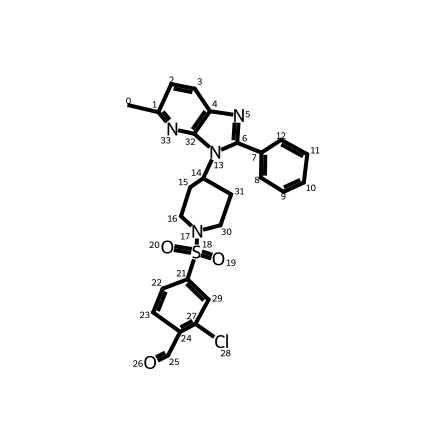 Cc1ccc2nc(-c3ccccc3)n(C3CCN(S(=O)(=O)c4ccc(C=O)c(Cl)c4)CC3)c2n1